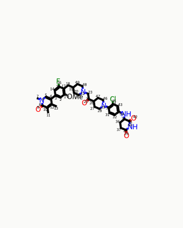 COc1cc(-c2cn(C)c(=O)c(C)c2C)cc(F)c1CC1CCN(CC(=O)C2CCN(c3ccc(NC4CCC(=O)NC4=O)cc3Cl)CC2)CC1